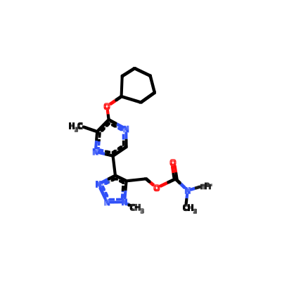 CCCN(C)C(=O)OCc1c(-c2cnc(OC3CCCCC3)c(C)n2)nnn1C